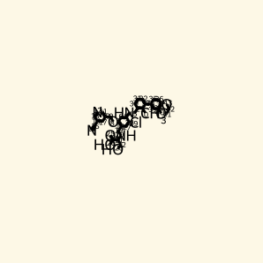 Cc1c(CNc2cc(OCc3cncc(C#N)c3)c(CNC(CO)C(=O)O)cc2Cl)cccc1-c1ccc2c(c1)OCCO2